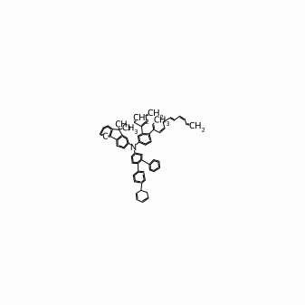 C=C/C=C\C=C\C/C=C\C(=C/C)c1ccc(N(c2ccc(-c3ccc(C4C=CC=CC4)cc3)c(-c3ccccc3)c2)c2ccc3c(c2)C(C)(C)c2ccccc2-3)cc1/C(C=C)=C/C=C